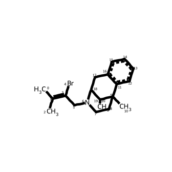 CC(C)=C(Br)CN1CCC2(C)c3ccccc3CC1C2C